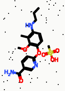 CCCNc1ccc(Oc2ccc(C(N)=O)cn2)c(OC)c1C.CS(=O)(=O)O